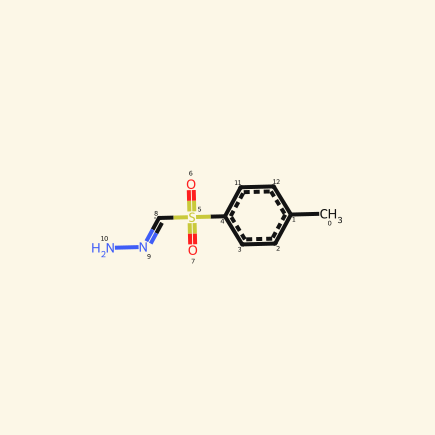 Cc1ccc(S(=O)(=O)[C]=NN)cc1